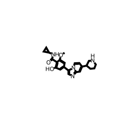 COc1cc(-c2cnc3cc(C4CCCNC4)ccn23)cc(O)c1C(=O)NC1CC1